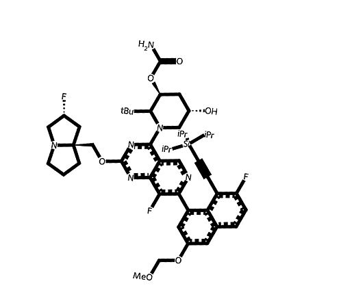 COCOc1cc(-c2ncc3c(N4C[C@@H](O)C[C@H](OC(N)=O)C4C(C)(C)C)nc(OC[C@@]45CCCN4C[C@H](F)C5)nc3c2F)c2c(C#C[Si](C(C)C)(C(C)C)C(C)C)c(F)ccc2c1